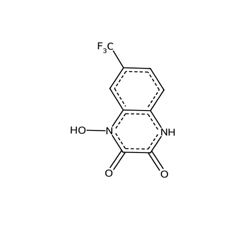 O=c1[nH]c2ccc(C(F)(F)F)cc2n(O)c1=O